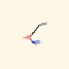 CCCCCCCCCCCCCCCCCCOCCOP(=O)(O)COCCn1cnc2c(=O)[nH]c(N)nc21